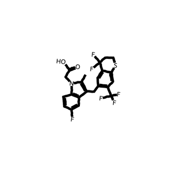 Cc1c(Cc2cc3c(cc2C(F)(F)F)SCCC3(F)F)c2cc(F)ccc2n1CC(=O)O